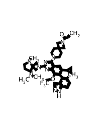 C=CC(=O)N1CC2(CCN(c3nc(N4CC5(C4)[C@@H](N(C)C)CCN5C)nc4c(OCC(F)(F)F)c(-c5c(C)ccc6[nH]ncc56)c(C5CC5)cc34)CC2)C1